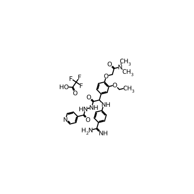 CCOc1cc(C(Nc2ccc(C(=N)N)cc2)C(=O)NNC(=O)c2ccncc2)ccc1OCC(=O)N(C)C.O=C(O)C(F)(F)F